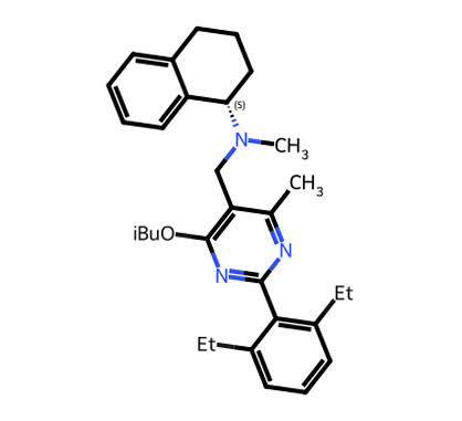 CCc1cccc(CC)c1-c1nc(C)c(CN(C)[C@H]2CCCc3ccccc32)c(OCC(C)C)n1